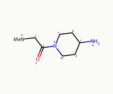 CNCC(=O)N1CCC(N)CC1